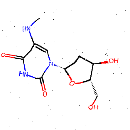 CNc1cn([C@@H]2C[C@@H](O)[C@H](CO)O2)c(=O)[nH]c1=O